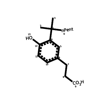 CCCCCC(C)(C)c1cc(CCC(=O)O)ccc1O